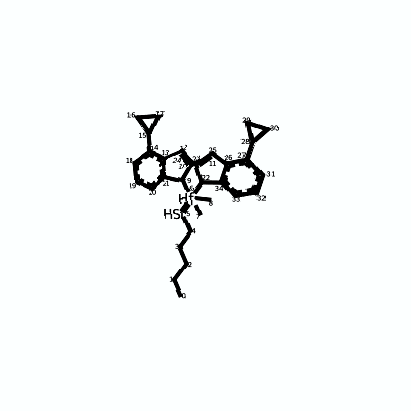 CCCCC[SiH]=[Hf]([CH3])([CH3])([CH]1C(C)=Cc2c(C3CC3)cccc21)[CH]1C(C)=Cc2c(C3CC3)cccc21